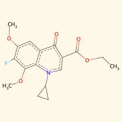 CCOC(=O)c1cn(C2CC2)c2c(OC)c(F)c(OC)cc2c1=O